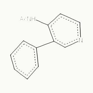 CC(=O)Nc1ccn[c]c1-c1ccccc1